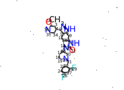 COc1cc(-c2n[nH]c3cc4c(cc23)CN([C@@H]2CCCN(Cc3ccc(F)cc3F)C2)C(=O)N4)ccn1